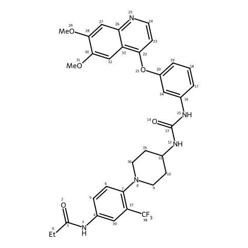 CCC(=O)Nc1ccc(N2CCC(NC(=O)Nc3cccc(Oc4ccnc5cc(OC)c(OC)cc45)c3)CC2)c(C(F)(F)F)c1